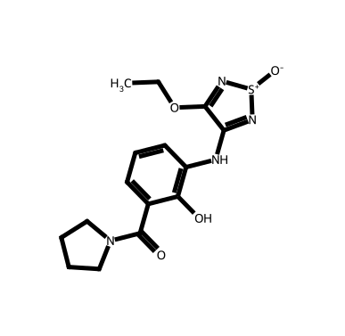 CCOc1n[s+]([O-])nc1Nc1cccc(C(=O)N2CCCC2)c1O